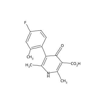 Cc1cc(F)ccc1-c1c(C)[nH]c(C)c(C(=O)O)c1=O